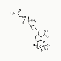 C[C@@](N)(CN1CC(Oc2ccc3c(c2C(=O)O)O[B-](O)(O)[C@@H]2C[C@H]32)C1)C(=O)NCC(N)=O